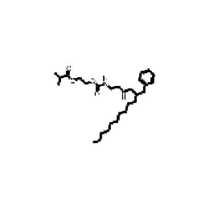 CCCCCCCCCCC(CNCCNC(=O)OCCOC(=O)C(C)C)Cc1ccccc1